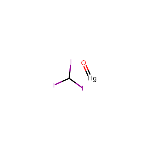 IC(I)I.[O]=[Hg]